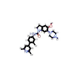 COc1cc2c(cc1N1CCN(C)CC1)N(C(=O)Nc1ccc(-c3cc(C)nc(C)c3)c(C)c1)CC2